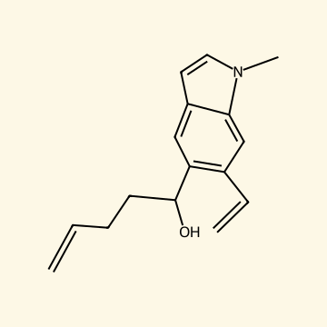 C=CCCC(O)c1cc2ccn(C)c2cc1C=C